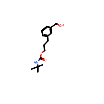 CC(C)(C)NC(=O)OCCCc1cccc(CO)c1